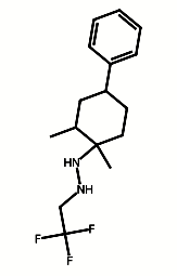 CC1CC(c2ccccc2)CCC1(C)NNCC(F)(F)F